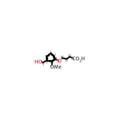 COc1c(CO)cccc1OCCCC(=O)O